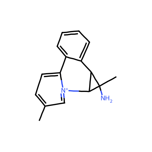 Cc1ccc2[n+](c1)C1C(c3ccccc3-2)C1(C)N